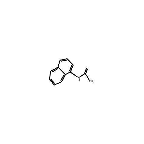 CC(=S)Nc1cccc2ccccc12